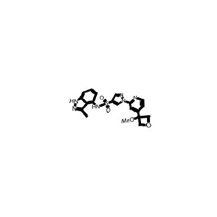 COC1(c2ccnc(-n3cc(S(=O)(=O)Nc4cccc5[nH]nc(C)c45)cn3)c2)COC1